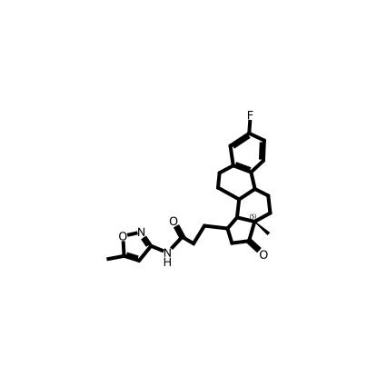 Cc1cc(NC(=O)CCC2CC(=O)[C@@]3(C)CCC4c5ccc(F)cc5CCC4C23)no1